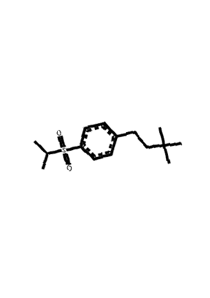 CC(C)S(=O)(=O)c1ccc(CCC(C)(C)C)cc1